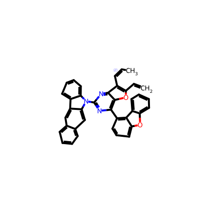 C=Cc1oc2c(-c3cccc4oc5ccccc5c34)nc(-n3c4ccccc4c4cc5ccccc5cc43)nc2c1/C=C\C